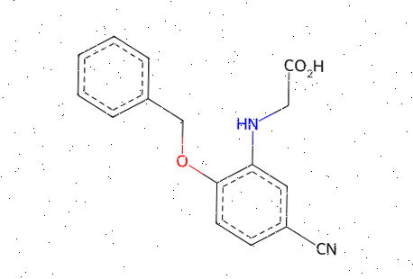 N#Cc1ccc(OCc2ccccc2)c(NCC(=O)O)c1